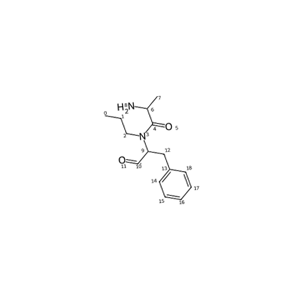 CCCN(C(=O)C(C)N)C([C]=O)Cc1ccccc1